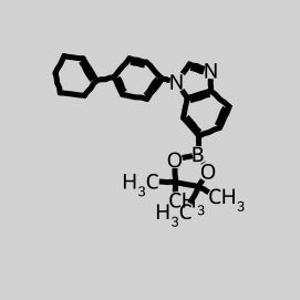 CC1(C)OB(c2ccc3ncn(-c4ccc(C5=CCCCC5)cc4)c3c2)OC1(C)C